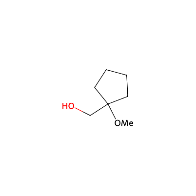 COC1(CO)CCCC1